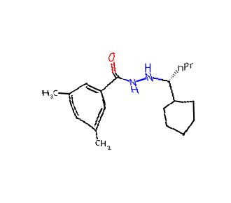 CCC[C@@H](NNC(=O)c1cc(C)cc(C)c1)C1CCCCC1